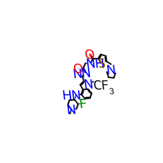 CN1CC[C@@H](Nc2cccc3c2cc(-c2noc(CNC(=O)c4ccc(CN5CCCC5)s4)n2)n3CC(F)(F)F)[C@@H](F)C1